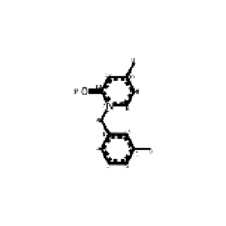 Cc1cccc(Cn2ccc(C)cc2=O)c1